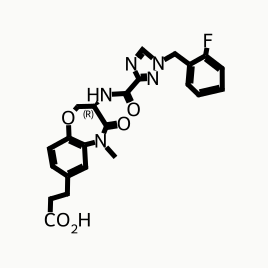 CN1C(=O)[C@H](NC(=O)c2ncn(Cc3ccccc3F)n2)COc2ccc(CCC(=O)O)cc21